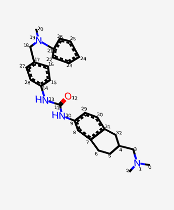 CN(C)CC1CCc2cc(NC(=O)Nc3ccc(CN(C)c4ccccc4)cc3)ccc2C1